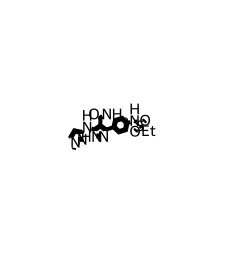 CCS(=O)(=O)Nc1ccc(-c2n[nH]c(Nc3ccn(C)n3)c2C(N)=O)cc1